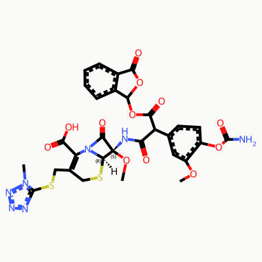 COc1cc(C(C(=O)N[C@]2(OC)C(=O)N3C(C(=O)O)=C(CSc4nnnn4C)CS[C@@H]32)C(=O)OC2OC(=O)c3ccccc32)ccc1OC(N)=O